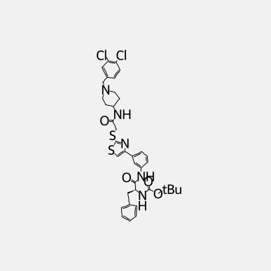 CC(C)(C)OC(=O)N[C@@H](Cc1ccccc1)C(=O)Nc1cccc(-c2csc(SCC(=O)NC3CCN(Cc4ccc(Cl)c(Cl)c4)CC3)n2)c1